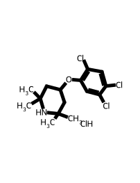 CC1(C)CC(Oc2cc(Cl)c(Cl)cc2Cl)CC(C)(C)N1.Cl